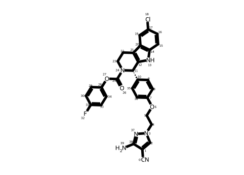 N#Cc1cn(CCOc2ccc([C@H]3c4[nH]c5ccc(Cl)cc5c4CCN3C(=O)Oc3ccc(F)cc3)cc2)nc1N